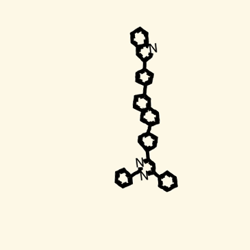 c1ccc(-c2cc(-c3ccc(-c4ccc5cc(-c6ccc(-c7cnc8ccccc8c7)cc6)ccc5c4)cc3)nc(-c3ccccc3)n2)cc1